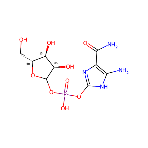 NC(=O)c1nc(OP(=O)(O)OC2O[C@H](CO)[C@@H](O)[C@H]2O)[nH]c1N